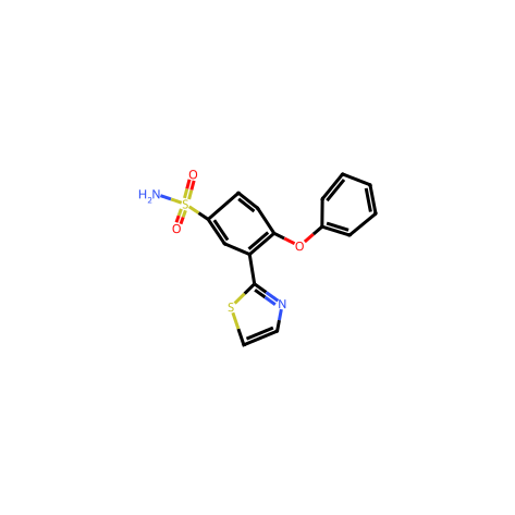 NS(=O)(=O)c1ccc(Oc2ccccc2)c(-c2nccs2)c1